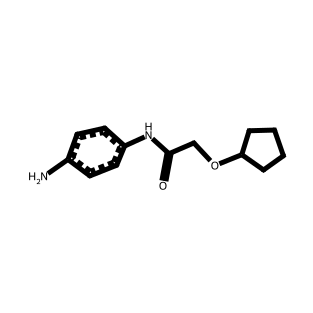 Nc1ccc(NC(=O)COC2CCCC2)cc1